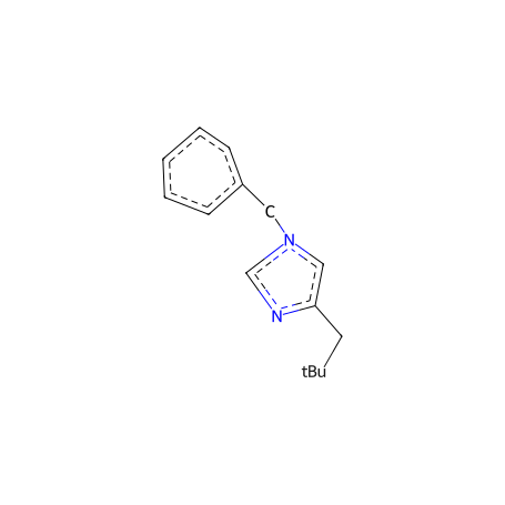 CC(C)(C)Cc1cn(Cc2ccccc2)cn1